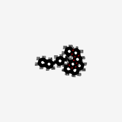 c1ccc(-c2ccccc2N(c2ccc(-c3ccc4ccccc4c3)cc2)c2ccccc2-c2ccc3ccc4ccc5ccccc5c4c3c2)cc1